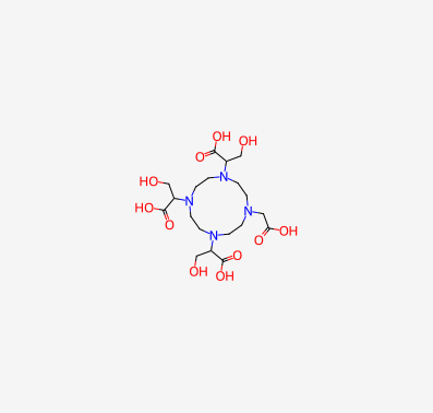 O=C(O)CN1CCN(C(CO)C(=O)O)CCN(C(CO)C(=O)O)CCN(C(CO)C(=O)O)CC1